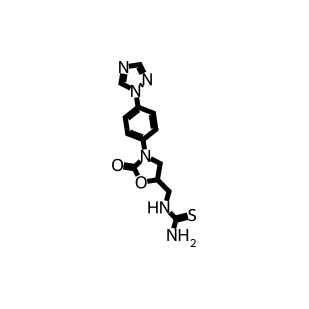 NC(=S)NCC1CN(c2ccc(-n3cncn3)cc2)C(=O)O1